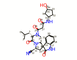 CC(C)C[C@@H](C(=O)N1C[C@]2(C[C@H]1C#N)C(=O)Nc1ccccc12)N(C)C(=O)CC(=O)N[C@H]1CC[C@H](O)C1